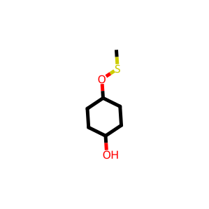 CSOC1CCC(O)CC1